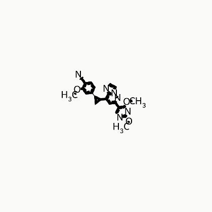 COc1ncc(-c2cc(C3C[C@@H]3c3ccc(C#N)c(OC)c3)c3nccn3n2)c(OC)n1